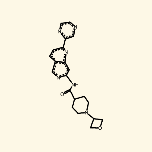 O=C(Nc1cc2nc(-c3cnccn3)ccc2cn1)C1CCN(C2COC2)CC1